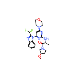 COC1CCN(C(=O)[C@H](C)Nc2nc(N3CCOCC3)cc(-n3c(C(F)F)nc4ccccc43)n2)C1